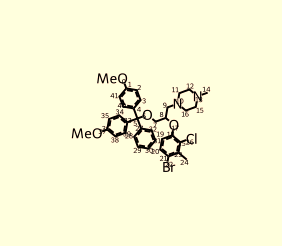 COc1ccc(C(OCC(CN2CCN(C)CC2)Oc2ccc(Br)c(C)c2Cl)(c2ccccc2)c2ccc(OC)cc2)cc1